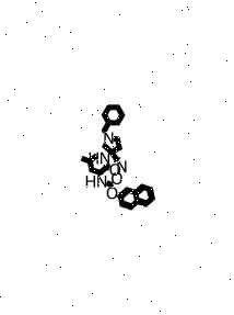 CC(C)CC(NC(=O)Oc1ccc2ccccc2c1)C(=O)NC1(C#N)CCN(CC2CCCCC2)C1